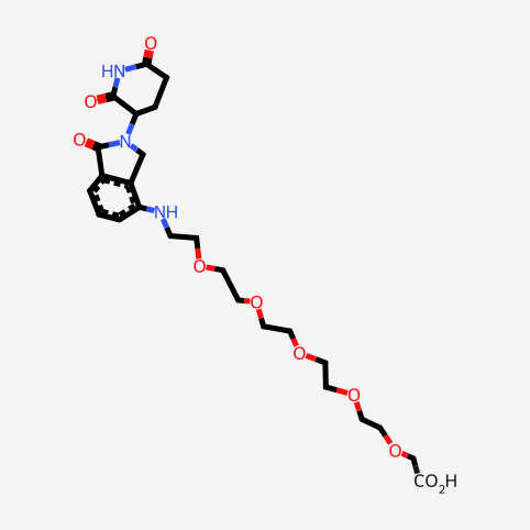 O=C(O)COCCOCCOCCOCCOCCNc1cccc2c1CN(C1CCC(=O)NC1=O)C2=O